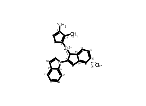 CC1=CC[C]([Zr+2][CH]2C(p3ccc4ccccc43)=Cc3ccccc32)=C1C.[Cl-].[Cl-]